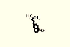 CC(C)=CCCC1=CCC2C(=NO)CCCC2C1